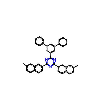 Cc1ccc2ccc(-c3nc(C4=CC(c5ccccc5)=CC(c5ccccc5)C4)nc(-c4ccc5ccc(C)cc5c4)n3)cc2c1